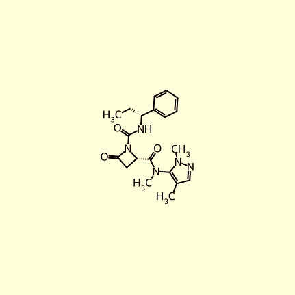 CC[C@@H](NC(=O)N1C(=O)C[C@H]1C(=O)N(C)c1c(C)cnn1C)c1ccccc1